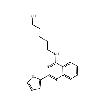 OCCSCCNc1nc(-c2cccs2)nc2ccccc12